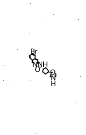 O=C(Nc1cc2cc(Br)ccc2cn1)[C@H]1CC[C@H](C2CNCCO2)CC1